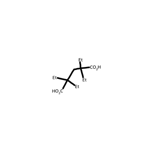 CCC(CC)(CC(CC)(CC)C(=O)O)C(=O)O